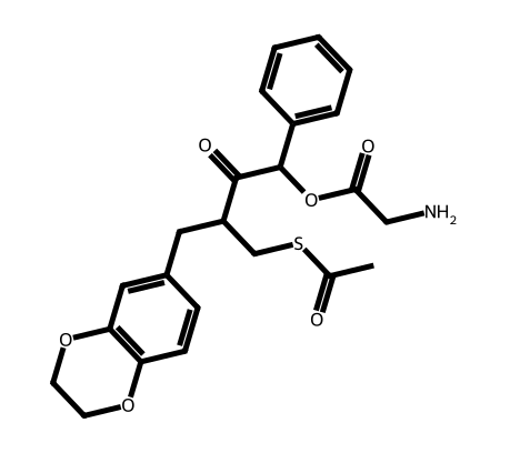 CC(=O)SCC(Cc1ccc2c(c1)OCCO2)C(=O)C(OC(=O)CN)c1ccccc1